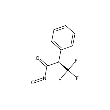 O=NC(=O)[C@@H](c1ccccc1)C(F)(F)F